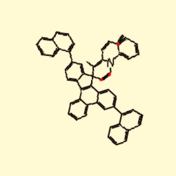 C=C/C=C\C1=C(C)C2(c3cc(-c4cccc5ccccc45)ccc3-c3c2c2ccc(-c4cccc5ccccc45)cc2c2ccccc32)c2ccccc2N1c1ccccc1